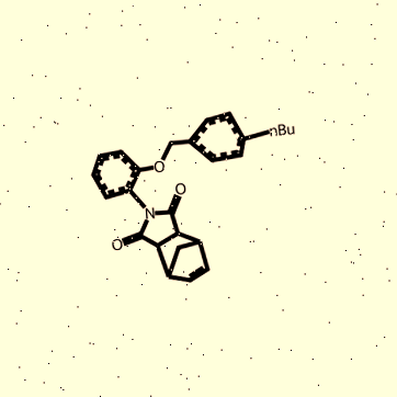 CCCCc1ccc(COc2ccccc2N2C(=O)C3C4C=CC(C4)C3C2=O)cc1